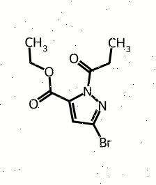 CCOC(=O)c1cc(Br)nn1C(=O)CC